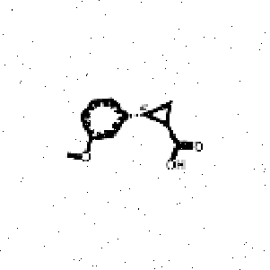 COc1cccc([C@@H]2CC2C(=O)O)c1